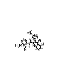 CC(Nc1ncnc(N)c1C#N)c1nc2cccc(Cl)c2c(=O)n1-c1cc(C2CC2)[nH]n1